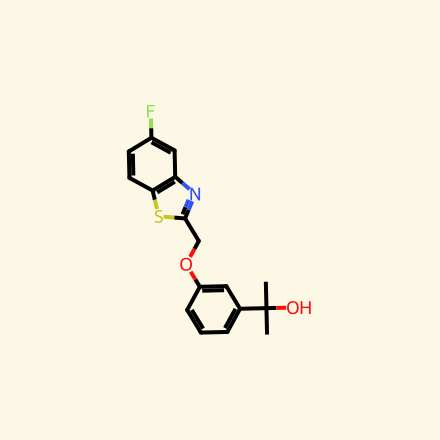 CC(C)(O)c1cccc(OCc2nc3cc(F)ccc3s2)c1